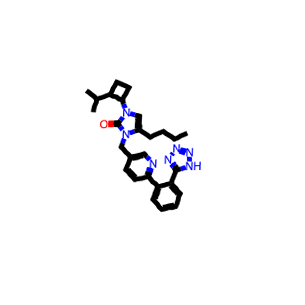 CCCCc1cn(C2CCC2C(C)C)c(=O)n1Cc1ccc(-c2ccccc2-c2nnn[nH]2)nc1